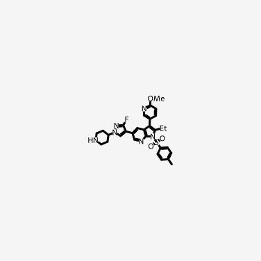 CCc1c(-c2ccc(OC)nc2)c2cc(-c3cn(C4CCNCC4)nc3F)cnc2n1S(=O)(=O)c1ccc(C)cc1